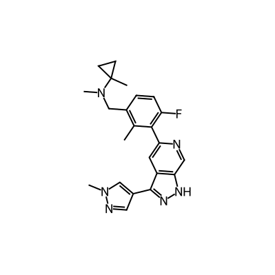 Cc1c(CN(C)C2(C)CC2)ccc(F)c1-c1cc2c(-c3cnn(C)c3)n[nH]c2cn1